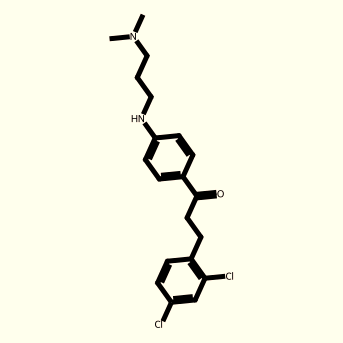 CN(C)CCCNc1ccc(C(=O)CCc2ccc(Cl)cc2Cl)cc1